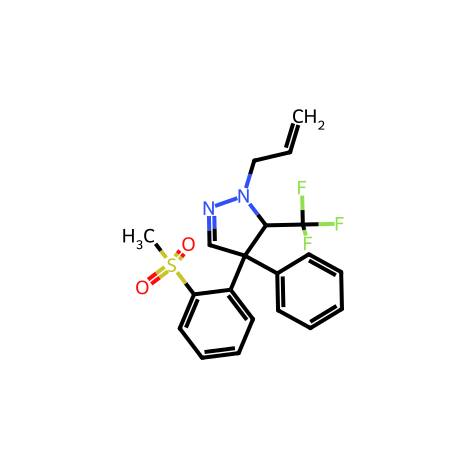 C=CCN1N=CC(c2ccccc2)(c2ccccc2S(C)(=O)=O)C1C(F)(F)F